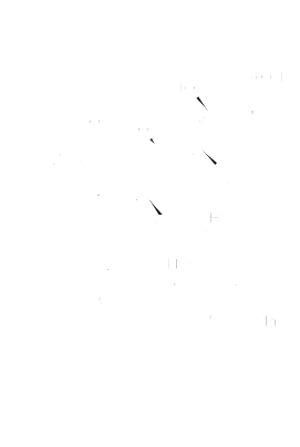 C=C(C)C(=O)OCC(CO)(CO)CCC.C=C(C)C(=O)O[C@H](CO)[C@@H](O)[C@H](O)[C@@H](O)CO